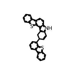 C1=CC(c2cccc3c2sc2ccccc23)Cc2c1[nH]c1ccc3c4ccccc4sc3c21